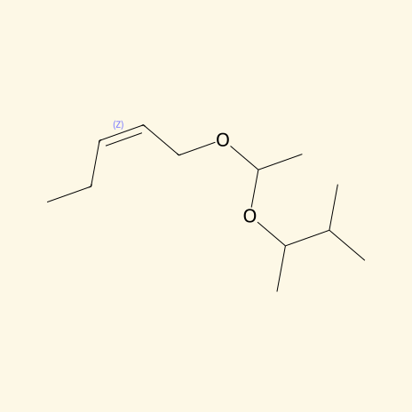 CC/C=C\COC(C)OC(C)C(C)C